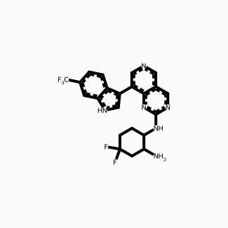 NC1CC(F)(F)CCC1Nc1ncc2cncc(-c3c[nH]c4cc(C(F)(F)F)ccc34)c2n1